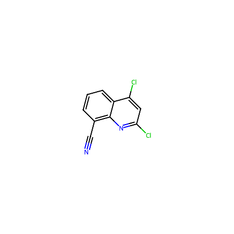 N#Cc1cccc2c(Cl)cc(Cl)nc12